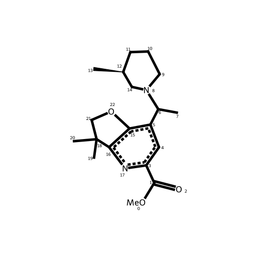 COC(=O)c1cc(C(C)N2CCC[C@H](C)C2)c2c(n1)C(C)(C)CO2